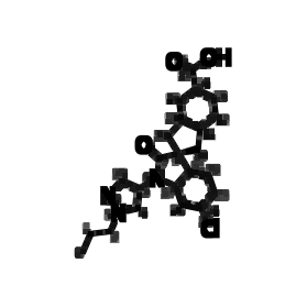 CCCn1cc(N2C(=O)[C@@]3(Cc4ccc(C(=O)O)cc4C3)c3ccc(Cl)cc32)cn1